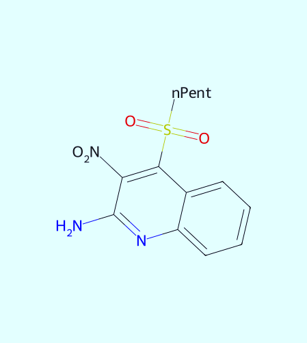 CCCCCS(=O)(=O)c1c([N+](=O)[O-])c(N)nc2ccccc12